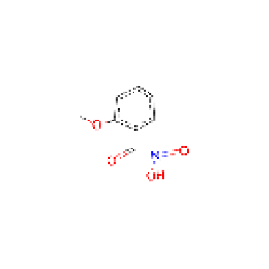 COc1ccccc1C=O.O=NO